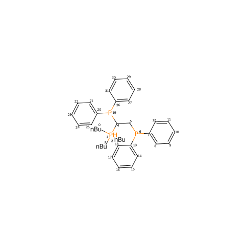 CCCC[PH](CCCC)(CCCC)C(CP(c1ccccc1)c1ccccc1)P(c1ccccc1)c1ccccc1